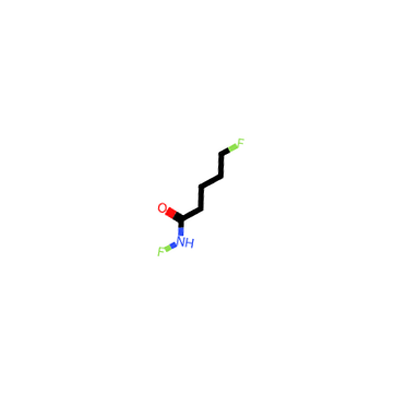 O=C(CCCCF)NF